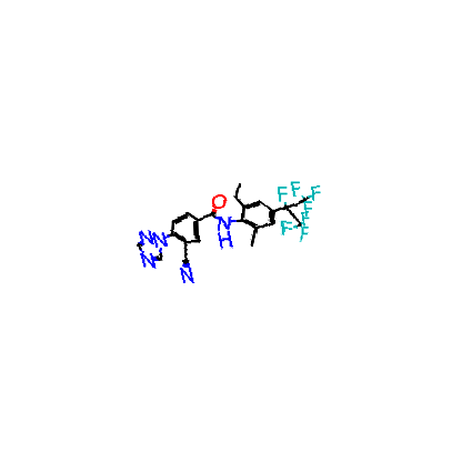 CCc1cc(C(F)(C(F)(F)F)C(F)(F)F)cc(C)c1NC(=O)c1ccc(-n2cncn2)c(C#N)c1